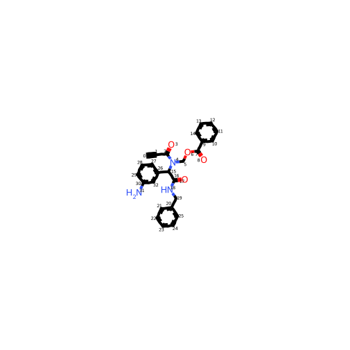 C#CC(=O)N(COC(=O)c1ccccc1)C(C(=O)NCc1ccccc1)c1cccc(N)c1